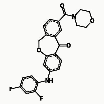 O=C1c2cc(C(=O)N3CCOCC3)ccc2COc2cc(Nc3ccc(F)cc3F)ccc21